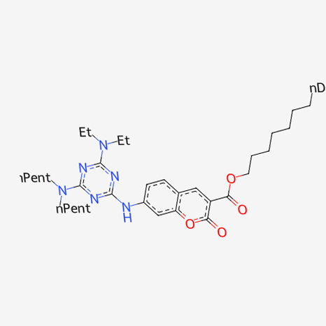 CCCCCCCCCCCCCCCCCOC(=O)c1cc2ccc(Nc3nc(N(CC)CC)nc(N(CCCCC)CCCCC)n3)cc2oc1=O